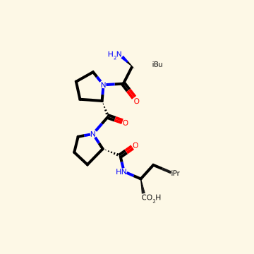 CC[C@H](C)[C@H](N)C(=O)N1CCC[C@H]1C(=O)N1CCC[C@H]1C(=O)N[C@@H](CC(C)C)C(=O)O